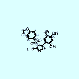 CC(C)c1cc(-c2nnc(O)n2S(=O)(=O)c2ccc3c(c2)OCO3)c(O)cc1O